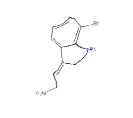 O=[N+]([O-])C/C=C1\CNc2c(Br)cccc21